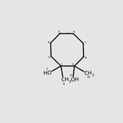 CC1(O)CCCCCCC1(C)O